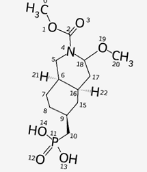 COC(=O)N1C[C@@H]2CC[C@H](CP(=O)(O)O)C[C@@H]2CC1OC